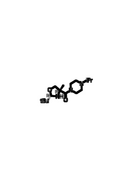 CC(C)N1CCN(C(=O)[C@@]2(C)CO[C@@H](C(C)(C)C)N2)CC1